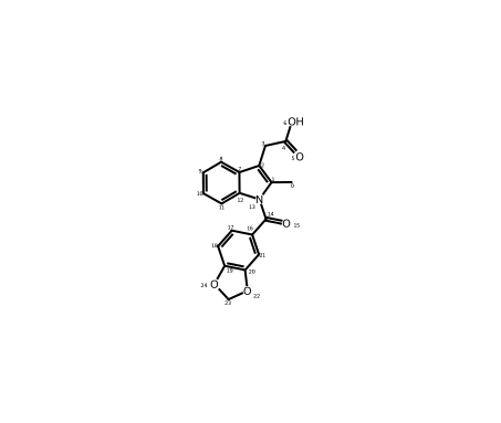 Cc1c(CC(=O)O)c2ccccc2n1C(=O)c1ccc2c(c1)OCO2